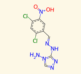 Nn1cnnc1N/N=C/c1cc([N+](=O)O)c(Cl)cc1Cl